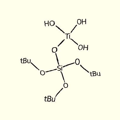 CC(C)(C)O[Si](OC(C)(C)C)(OC(C)(C)C)[O][Ti]([OH])([OH])[OH]